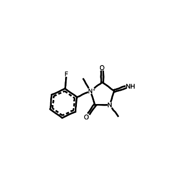 CN1C(=N)C(=O)[N+](C)(c2ccccc2F)C1=O